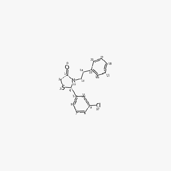 O=C1CSC(c2cccc(Cl)c2)N1CCc1ccccc1